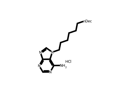 CCCCCCCCCCCCCCCCn1cnc2ncnc(N)c21.Cl